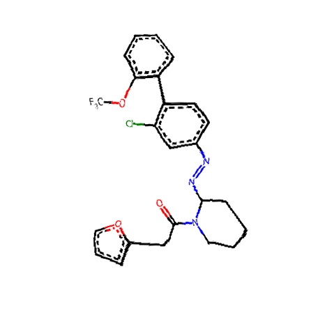 O=C(Cc1ccco1)N1CCCCC1/N=N/c1ccc(-c2ccccc2OC(F)(F)F)c(Cl)c1